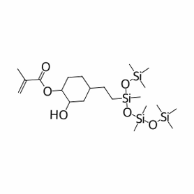 C=C(C)C(=O)OC1CCC(CC[Si](C)(O[Si](C)(C)C)O[Si](C)(C)O[Si](C)(C)C)CC1O